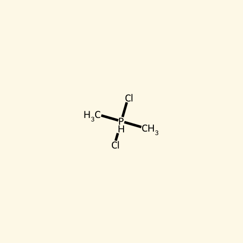 C[PH](C)(Cl)Cl